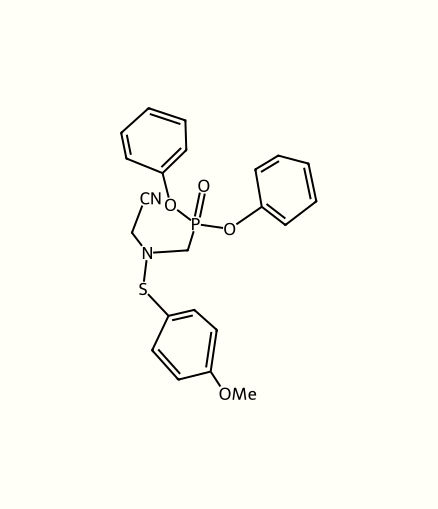 COc1ccc(SN(CC#N)CP(=O)(Oc2ccccc2)Oc2ccccc2)cc1